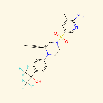 CC#C[C@H]1CN(S(=O)(=O)c2cnc(N)c(C)c2)CCN1c1ccc(C(O)(C(F)(F)F)C(F)(F)F)cc1